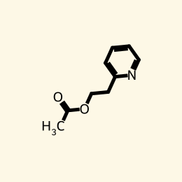 CC(=O)OCCc1ccccn1